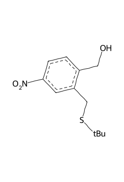 CC(C)(C)SCc1cc([N+](=O)[O-])ccc1CO